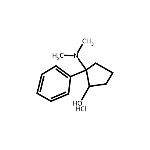 CN(C)C1(c2ccccc2)CCCC1O.Cl